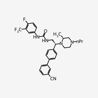 CCCN1CCN([C@H](CNC(=O)Nc2ccc(F)c(C(F)(F)F)c2)c2ccc(-c3cccc(C#N)c3)cc2)[C@@H](C)C1